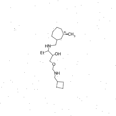 CCC(NCC1CCCC[C@@H](C)C1)C(O)COCNCC1CCC1